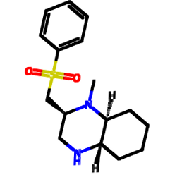 CN1[C@H](CS(=O)(=O)c2ccccc2)CN[C@H]2CCCC[C@@H]21